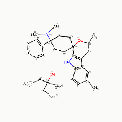 Cc1ccc2[nH]c3c(c2c1)CC(C)OC31CCC(c2ccccc2)(N(C)C)CC1.O=C(O)CC(O)(CC(=O)O)C(=O)O